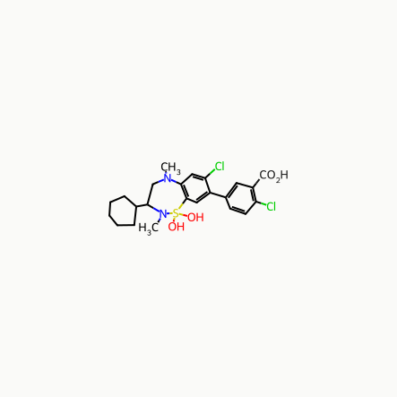 CN1CC(C2CCCCC2)N(C)S(O)(O)c2cc(-c3ccc(Cl)c(C(=O)O)c3)c(Cl)cc21